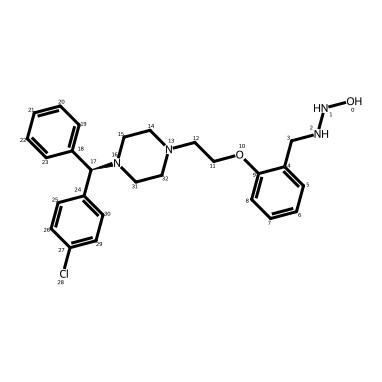 ONNCc1ccccc1OCCN1CCN([C@H](c2ccccc2)c2ccc(Cl)cc2)CC1